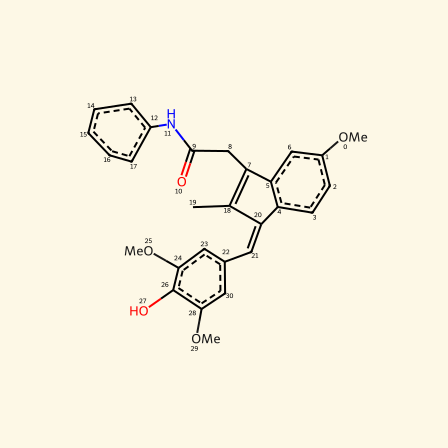 COc1ccc2c(c1)C(CC(=O)Nc1ccccc1)=C(C)C2=Cc1cc(OC)c(O)c(OC)c1